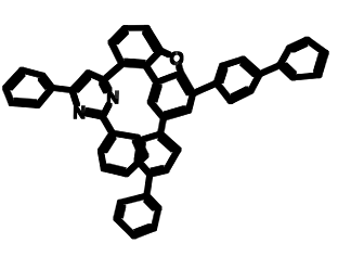 c1ccc(-c2ccc(-c3cc(-c4ccc(-c5ccccc5)cc4)c4oc5cccc(-c6cc(-c7ccccc7)nc(-c7ccccc7)n6)c5c4c3)cc2)cc1